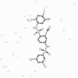 Cc1cc(F)c(Br)cc1NS(=O)(=O)c1ccc(NS(=O)(=O)c2cc(Cl)cc(Cl)c2)cc1C#N